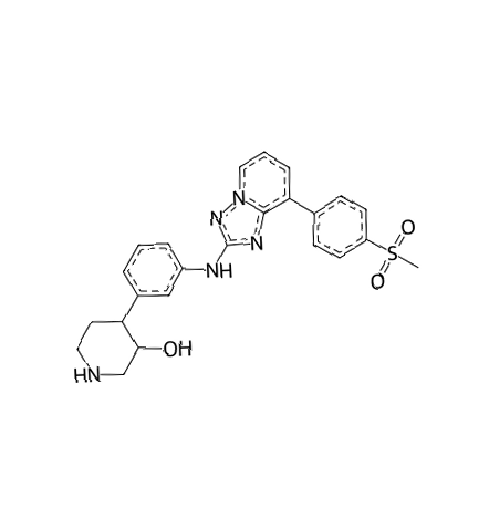 CS(=O)(=O)c1ccc(-c2cccn3nc(Nc4cccc(C5CCNCC5O)c4)nc23)cc1